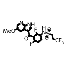 COc1cnc2[nH]cc(C(=O)c3c(F)ccc(NS(=O)(=O)CCC(F)(F)F)c3F)c2c1